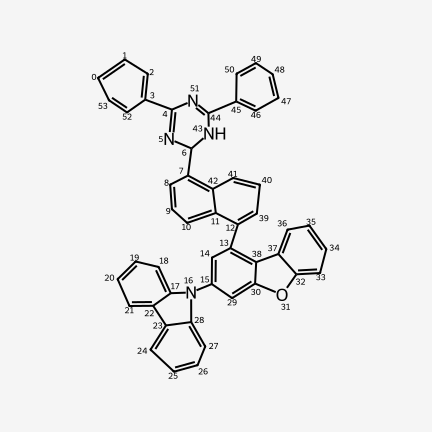 c1ccc(C2=NC(c3cccc4c(-c5cc(-n6c7ccccc7c7ccccc76)cc6oc7ccccc7c56)cccc34)NC(c3ccccc3)=N2)cc1